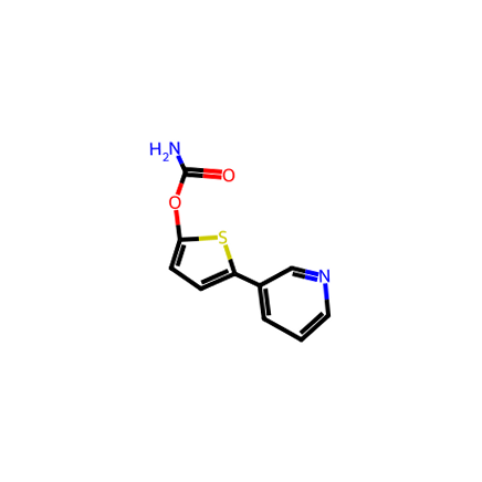 NC(=O)Oc1ccc(-c2cccnc2)s1